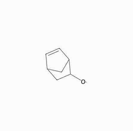 [O]C1CC2C=CC1C2